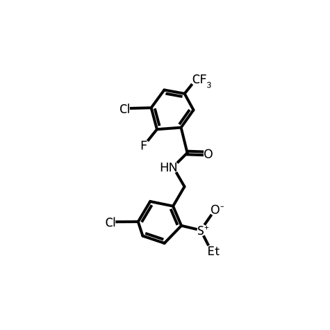 CC[S+]([O-])c1ccc(Cl)cc1CNC(=O)c1cc(C(F)(F)F)cc(Cl)c1F